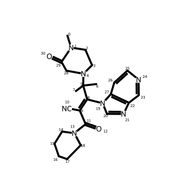 CN1CCN(C(C)(C)C(=C(C#N)C(=O)N2CCCCC2)n2cnc3cnccc32)CC1=O